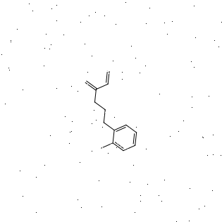 C=CC(=C)CCCc1ccccc1C